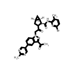 CC(=O)c1nn(CC(=O)C2C[C@H]3C[C@H]3[C@H]2C(=O)Nc2nc(Br)ccc2C)c2ccc(-c3cnc(C)nc3)cc12